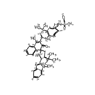 Cn1c(CNC2(CCC(C)(C)C)C(=O)C(C3=NS(O)(O)c4cc(NS(C)(=O)=O)ccc4N3)=C(O)c3ccccc32)nc2ccccc21